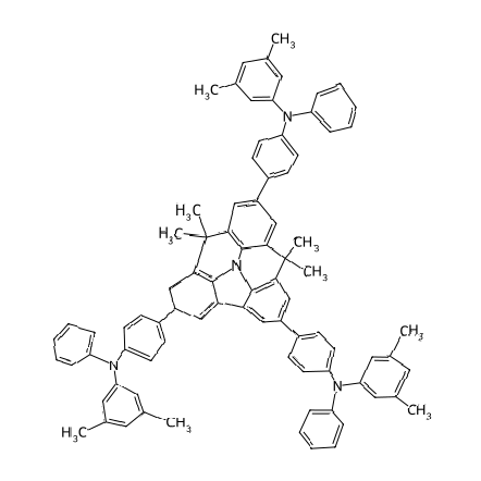 Cc1cc(C)cc(N(c2ccccc2)c2ccc(-c3cc4c5c(c3)C(C)(C)c3cc(-c6ccc(N(c7ccccc7)c7cc(C)cc(C)c7)cc6)cc6c7c(n-5c36)=C(CC(c3ccc(N(c5ccccc5)c5cc(C)cc(C)c5)cc3)C=7)C4(C)C)cc2)c1